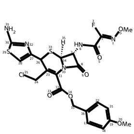 CON=C(F)C(=O)N[C@@H]1C(=O)N2C(C(=O)OCc3ccc(OC)cc3)=C(CCl)C(c3csc(N)n3)S[C@@H]12